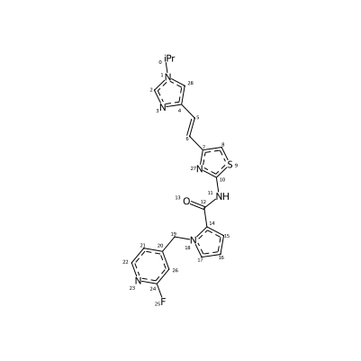 CC(C)n1cnc(C=Cc2csc(NC(=O)c3cccn3Cc3ccnc(F)c3)n2)c1